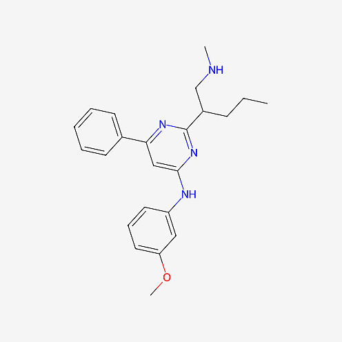 CCCC(CNC)c1nc(Nc2cccc(OC)c2)cc(-c2ccccc2)n1